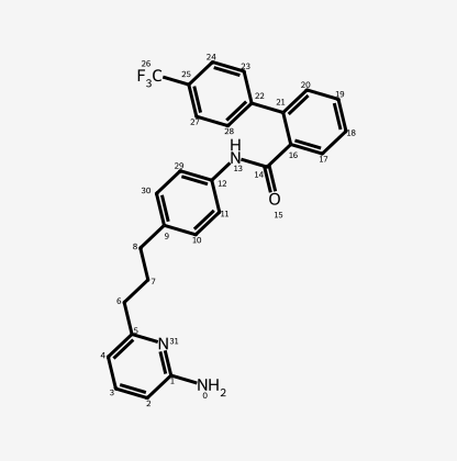 Nc1cccc(CCCc2ccc(NC(=O)c3ccccc3-c3ccc(C(F)(F)F)cc3)cc2)n1